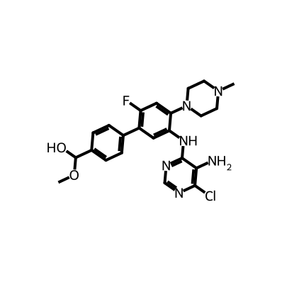 COC(O)c1ccc(-c2cc(Nc3ncnc(Cl)c3N)c(N3CCN(C)CC3)cc2F)cc1